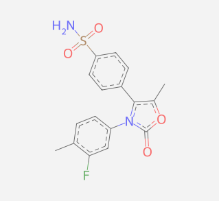 Cc1ccc(-n2c(-c3ccc(S(N)(=O)=O)cc3)c(C)oc2=O)cc1F